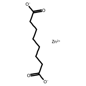 O=C([O-])CCCCCCC(=O)[O-].[Zn+2]